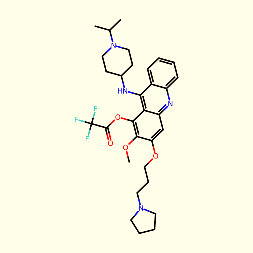 COc1c(OCCCN2CCCC2)cc2nc3ccccc3c(NC3CCN(C(C)C)CC3)c2c1OC(=O)C(F)(F)F